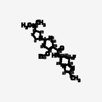 CCOc1nc(N2CC[C@@H](N(C)C)C2)ncc1C(=O)Nc1cc(F)c2nc(C)cn2c1